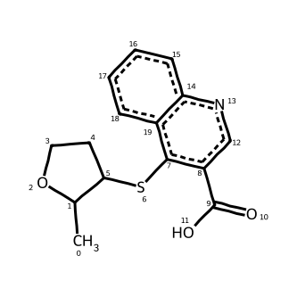 CC1OCCC1Sc1c(C(=O)O)cnc2ccccc12